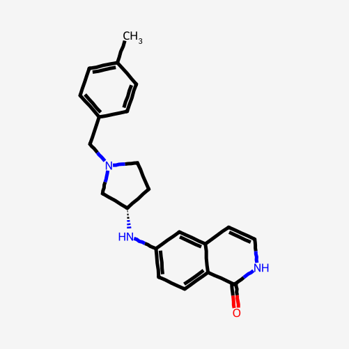 Cc1ccc(CN2CC[C@H](Nc3ccc4c(=O)[nH]ccc4c3)C2)cc1